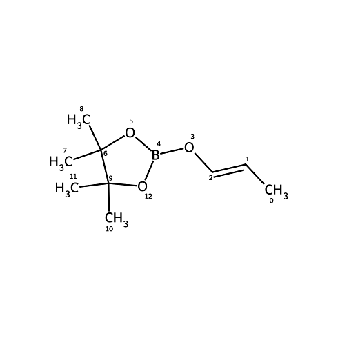 C/C=C/OB1OC(C)(C)C(C)(C)O1